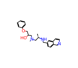 C[C@H](CN(C)CC(O)COc1ccccc1)NCc1ccc2cnccc2c1